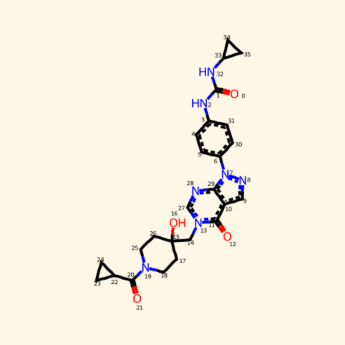 O=C(Nc1ccc(-n2ncc3c(=O)n(CC4(O)CCN(C(=O)C5CC5)CC4)cnc32)cc1)NC1CC1